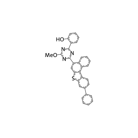 COc1nc(-c2ccccc2O)nc(-c2cc3sc4cc(-c5ccccc5)ccc4c3c3ccccc23)n1